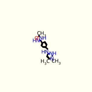 CC1=CC(NCc2ccc(C3NOC(C)N3)cc2)NCN1C